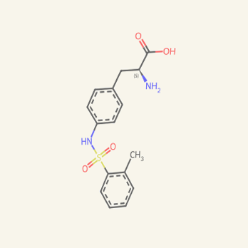 Cc1ccccc1S(=O)(=O)Nc1ccc(C[C@H](N)C(=O)O)cc1